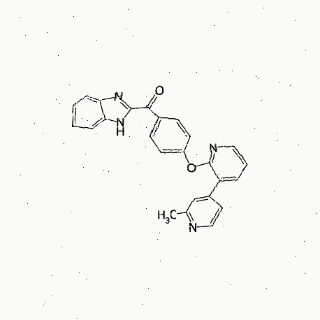 Cc1cc(-c2cccnc2Oc2ccc(C(=O)c3nc4ccccc4[nH]3)cc2)ccn1